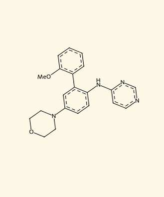 COc1ccccc1-c1cc(N2CCOCC2)ccc1Nc1ccncn1